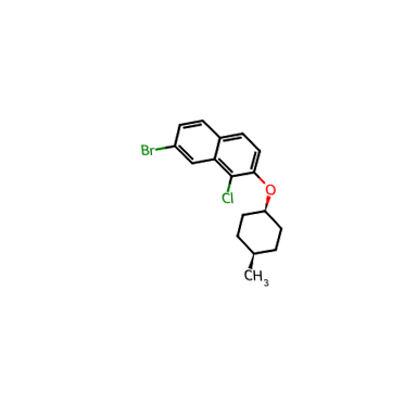 C[C@H]1CC[C@@H](Oc2ccc3ccc(Br)cc3c2Cl)CC1